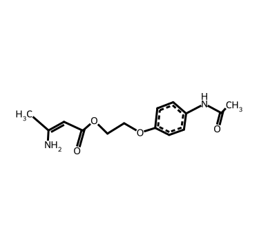 CC(=O)Nc1ccc(OCCOC(=O)C=C(C)N)cc1